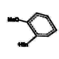 COc1cccc[c]1[SnH]